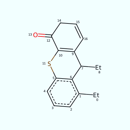 CCc1cccc2c1C(CC)C1=C(S2)C(=O)CC=C1